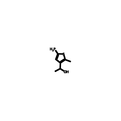 Cc1sc(P)cc1C(C)O